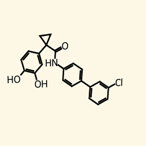 O=C(Nc1ccc(-c2cccc(Cl)c2)cc1)C1(c2ccc(O)c(O)c2)CC1